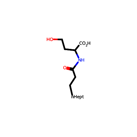 CCCCCCCCCC(=O)NC(CCO)C(=O)O